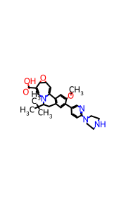 COc1cc2c(cc1-c1ccc(N3CCNCC3)nc1)CC(C(C)(C)C)N1C=C(C(=O)O)C3OC3C=C21